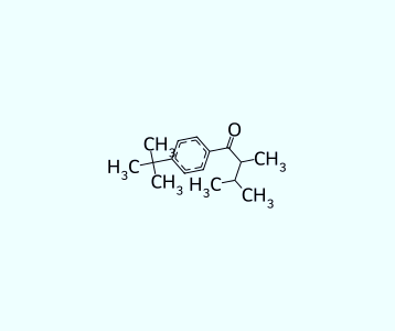 CC(C)C(C)C(=O)c1ccc(C(C)(C)C)cc1